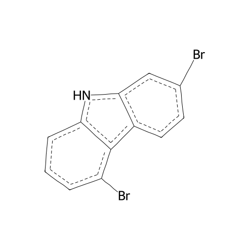 Brc1ccc2c(c1)[nH]c1cccc(Br)c12